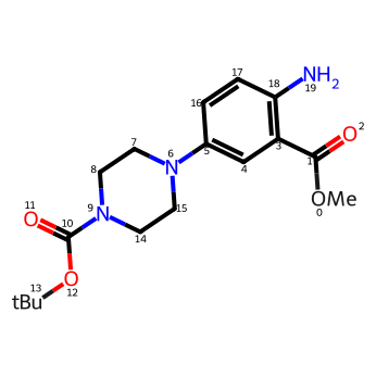 COC(=O)c1cc(N2CCN(C(=O)OC(C)(C)C)CC2)ccc1N